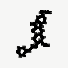 CC(=O)Nc1ccc2c(c1)NC(=O)/C2=C\c1ccc(OCCN2CCOCC2)c(C(C)(C)C)c1